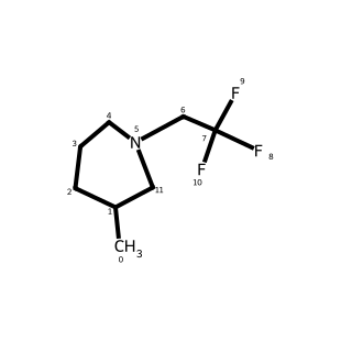 CC1CCCN(CC(F)(F)F)C1